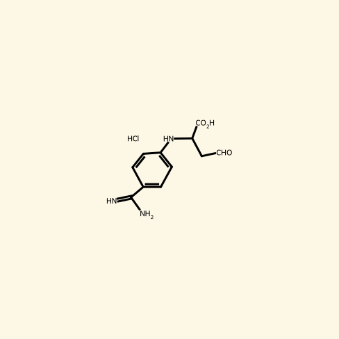 Cl.N=C(N)c1ccc(NC(CC=O)C(=O)O)cc1